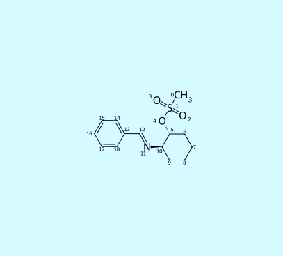 CS(=O)(=O)O[C@@H]1CCCC[C@H]1N=Cc1ccccc1